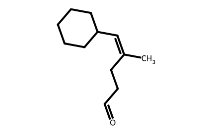 CC(=CC1CCCCC1)CCC=O